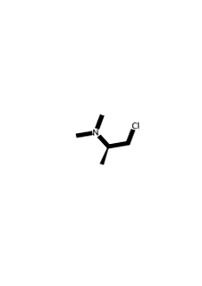 C[C@H](CCl)N(C)C